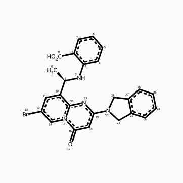 C[C@@H](Nc1ccccc1C(=O)O)c1cc(Br)cn2c(=O)cc(N3Cc4ccccc4C3)nc12